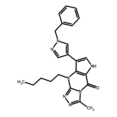 CCCCCn1c2c(-c3cnn(Cc4ccccc4)c3)c[nH]c2c(=O)n2c(C)nnc12